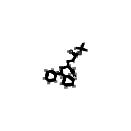 CC(C)(C)OC(=O)CCC(C#N)N=C(c1ccccc1)c1ccccc1